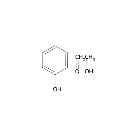 C=O.CO.Oc1ccccc1